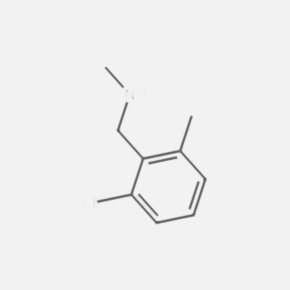 CNCc1c(C)cccc1Cl